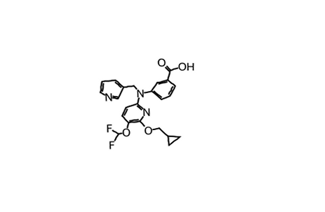 O=C(O)c1cccc(N(Cc2cccnc2)c2ccc(OC(F)F)c(OCC3CC3)n2)c1